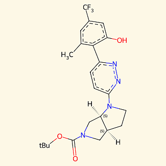 Cc1cc(C(F)(F)F)cc(O)c1-c1ccc(N2CC[C@H]3CN(C(=O)OC(C)(C)C)C[C@H]32)nn1